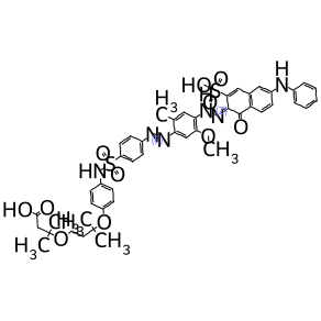 COc1cc(/N=N/c2ccc(S(=O)(=O)Nc3ccc(OC(C)(C)CCOC(C)(C)CC(=O)O)cc3)cc2)c(C)cc1N/N=C1/C(=O)c2ccc(Nc3ccccc3)cc2C=C1S(=O)(=O)O